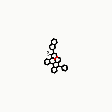 CSc1c(C2C=c3ccccc3=CC2)cccc1C1CC=CC=C1c1c2ccccc2c(-c2ccccc2)c2ccccc12